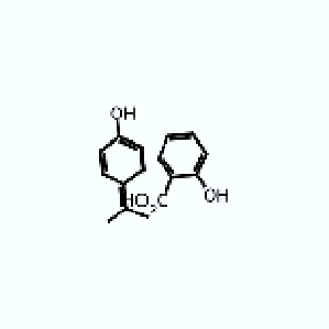 CC(C)=C1C=CC(O)=CC1.O=C(O)c1ccccc1O